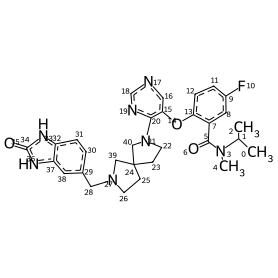 CC(C)N(C)C(=O)c1cc(F)ccc1Oc1cncnc1N1CCC2(CCN(Cc3ccc4[nH]c(=O)[nH]c4c3)C2)C1